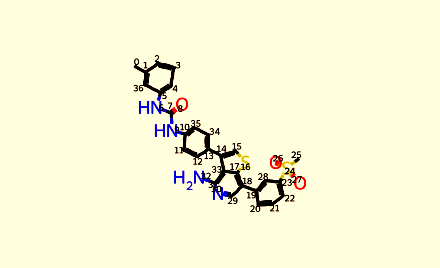 Cc1cccc(NC(=O)Nc2ccc(-c3csc4c(-c5cccc(S(C)(=O)=O)c5)cnc(N)c34)cc2)c1